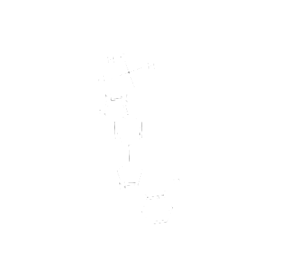 Cc1ccccc1C1=NCC(c2ccc3c(c2)nnn3CC(C)(C)C)=C1